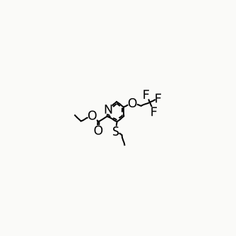 CCOC(=O)c1ncc(OCC(F)(F)F)cc1SCC